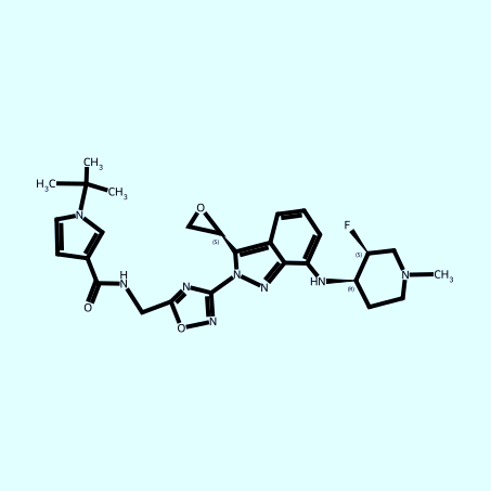 CN1CC[C@@H](Nc2cccc3c([C@H]4CO4)n(-c4noc(CNC(=O)c5ccn(C(C)(C)C)c5)n4)nc23)[C@@H](F)C1